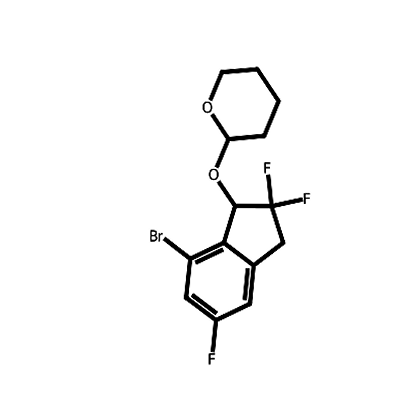 Fc1cc(Br)c2c(c1)CC(F)(F)C2OC1CCCCO1